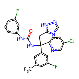 O=C(Nc1cccc(F)c1)NC(Cc1ncn[nH]1)(c1cc(F)cc(C(F)(F)F)c1)c1ccc(Cl)cn1